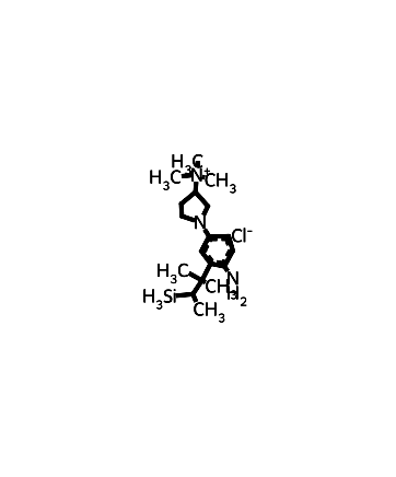 CC([SiH3])C(C)(C)c1cc(N2CCC([N+](C)(C)C)C2)ccc1N.[Cl-]